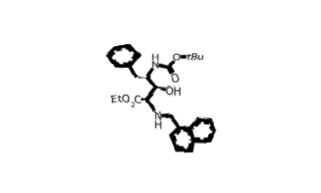 CCOC(=O)[C@H](NCc1cccc2ccccc12)[C@H](O)[C@H](Cc1ccccc1)NC(=O)OC(C)(C)C